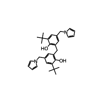 CC(C)(C)c1cc(Cn2cccc2)cc(Cc2cc(Cn3cccc3)cc(C(C)(C)C)c2O)c1O